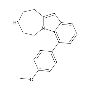 COc1c[c]c(-c2cccc3cc4n(c23)CCNCC4)cc1